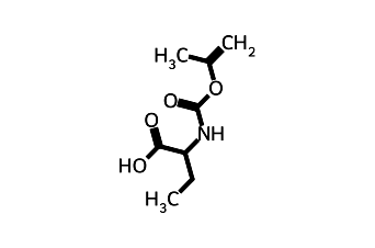 C=C(C)OC(=O)NC(CC)C(=O)O